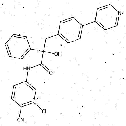 N#Cc1ccc(NC(=O)C(O)(Cc2ccc(-c3ccncc3)cc2)c2ccccc2)cc1Cl